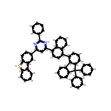 c1ccc(-c2nc(-c3ccc4sc5ccccc5c4c3)cc(-c3ccc(-c4cccc5c4-c4ccccc4C5(c4ccccc4)c4ccccc4)c4ccccc34)n2)cc1